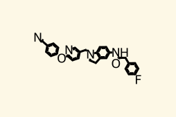 N#Cc1ccc(Oc2ccc(CN3CCc4cc(NC(=O)Cc5ccc(F)cc5)ccc43)cn2)cc1